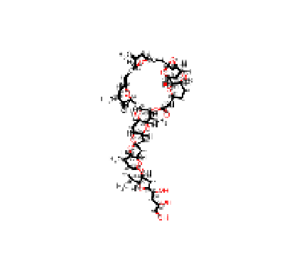 C=C1C[C@@H]2CC[C@]34C[C@@H](O3)[C@@H]3O[C@H]5CC[C@H](CC(=O)O[C@@H]6[C@@H](C)[C@@H]7O[C@@H]8C[C@]9(C[C@@H]%10O[C@]%11(C[C@H](C)[C@@H]%12O[C@H]([C@@H](O)C[C@@H](O)CO)C[C@@H]%12O%11)C[C@H](C)[C@@H]%10O9)O[C@@H]8C[C@@H]7O[C@H]6C[C@H]6O[C@@H](CC[C@@H]1O2)C[C@@H](C)C6=C)O[C@@H]5[C@H](O4)[C@@H]3OC